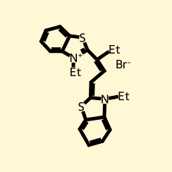 CCC(=CC=C1Sc2ccccc2N1CC)c1sc2ccccc2[n+]1CC.[Br-]